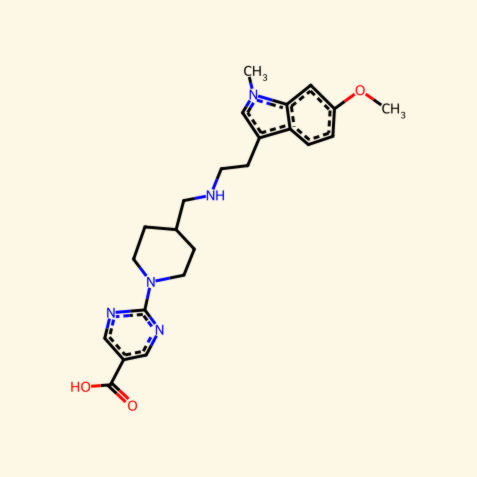 COc1ccc2c(CCNCC3CCN(c4ncc(C(=O)O)cn4)CC3)cn(C)c2c1